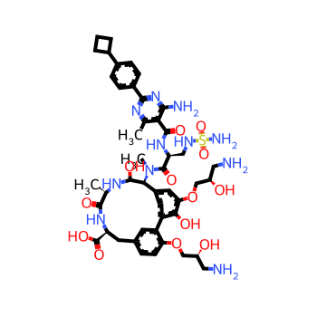 Cc1nc(-c2ccc(C3CCC3)cc2)nc(N)c1C(=O)N[C@@H](CNS(N)(=O)=O)C(=O)N(C)[C@H]1c2cc(OC[C@H](O)CN)c(O)c(c2)-c2cc(ccc2OC[C@H](O)CN)C[C@@H](C(=O)O)NC(=O)[C@H](C)NC1O